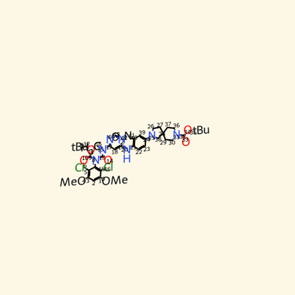 COc1cc(OC)c(Cl)c(N(C(=O)OC(C)(C)C)C(=O)N(C)c2cc(Nc3ccc(N4CCC5(CCN(C(=O)OC(C)(C)C)CC5)C4)cc3[N+](=O)[O-])ncn2)c1Cl